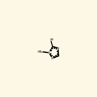 CCCCn1ncnc1C(C)C